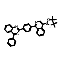 CC1(C)OB(c2cnc(-c3ccc(-c4nc(-c5ccccc5)c5ccccc5n4)cc3)c3ccccc23)OC1(C)C